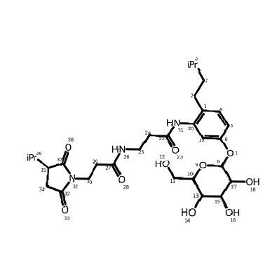 CC(C)CCc1ccc(OC2OC(CO)C(O)C(O)C2O)cc1NC(=O)CCNC(=O)CCN1C(=O)CC(C(C)C)C1=O